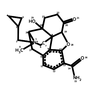 C[N+]1(CC2CC2)CCC23c4c5ccc(C(N)=O)c4OC2C(=O)CCC3(O)C1C5